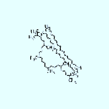 CC(C)CCCC(C)CCCC(C)CCCCC(C)CCCC(C)CCCC(C)C.CCCCCCCCCCCCCCCCO.CCCCCCCCCCCCCCCCO